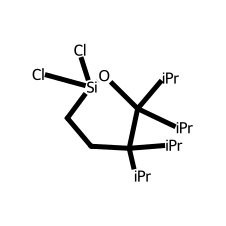 CC(C)C1(C(C)C)CC[Si](Cl)(Cl)OC1(C(C)C)C(C)C